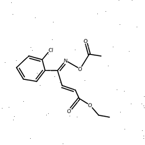 CCOC(=O)C=CC(=NOC(C)=O)c1ccccc1Cl